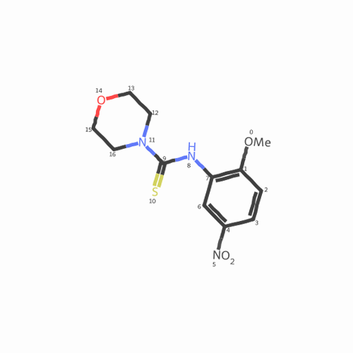 COc1ccc([N+](=O)[O-])cc1NC(=S)N1CCOCC1